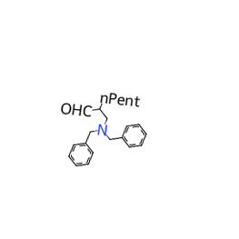 CCCCCC(C=O)CN(Cc1ccccc1)Cc1ccccc1